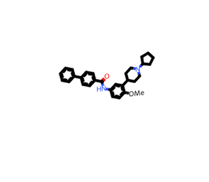 COc1ccc(NC(=O)c2ccc(-c3ccccc3)cc2)cc1C1CCN(C2CCCC2)CC1